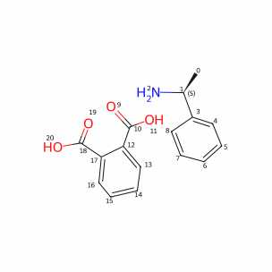 C[C@H](N)c1ccccc1.O=C(O)c1ccccc1C(=O)O